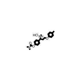 CNC(CCOc1ccc(C)cc1)c1ccc(OC(=O)N(C)C)cc1.Cl